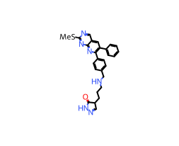 CSc1ncc2cc(-c3ccccc3)c(-c3ccc(CNCCCC4C=NNC4=O)cc3)nc2n1